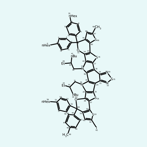 CCCCCCc1ccc(C2(c3ccc(CCCCCC)cc3)Oc3c(sc4c5c6nsnc6c6c7sc8c(c7n(CC(CC)CCCC)c6c5n(CC(CC)CCCC)c34)OC(c3ccc(C)cc3)(c3ccc(CCCCCC)cc3)c3cc(I)sc3-8)-c3sc(C)cc32)cc1